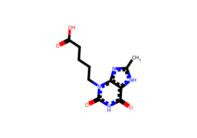 Cc1nc2c([nH]1)c(=O)[nH]c(=O)n2CCCCC(=O)O